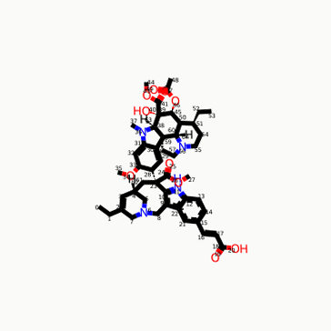 CCC1=C[C@H]2CN(C1)Cc1c([nH]c3ccc(/C=C/C(=O)O)cc13)[C@@](C(=O)OC)(C1C=C3C(=CC1OC)N(C)[C@H]1[C@@](O)(C(=O)OC)[C@H](OC(C)=O)C4[C@@H](CC)CCN5CC[C@]31[C@H]45)C2